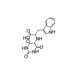 O=C1NC(=O)C(NC(Cc2c[nH]c3ccccc23)C(=O)O)C(=O)N1